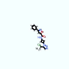 C[C@@H](Cl)c1cnnn1C1CC(NC(=O)c2cc(-c3ccccc3)no2)C1